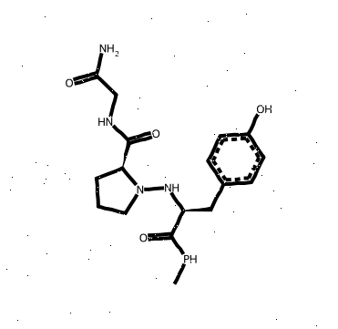 CPC(=O)[C@H](Cc1ccc(O)cc1)NN1CCC[C@H]1C(=O)NCC(N)=O